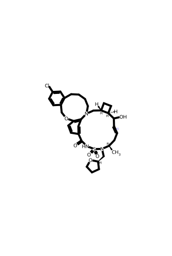 C[C@@H]1C/C=C/C(O)[C@@H]2CC[C@H]2CN2CCCCc3cc(Cl)ccc3COc3ccc(cc32)C(=O)NS(=O)(=O)N1C[C@H]1CCCO1